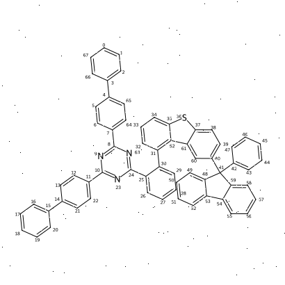 c1ccc(-c2ccc(-c3nc(-c4ccc(-c5ccccc5)cc4)nc(-c4ccccc4-c4cccc5sc6ccc(C7(c8ccccc8)c8ccccc8-c8ccccc87)cc6c45)n3)cc2)cc1